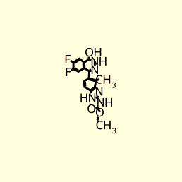 CCOC(=O)Nc1nc2c(C)c(C3=NNC(O)c4cc(F)c(F)cc43)ccc2[nH]1